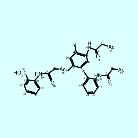 CC(=O)CC(=O)Nc1ccc(C)cc1C.CC(=O)CC(=O)Nc1ccccc1C.CC(=O)CC(=O)Nc1ccccc1C(=O)O